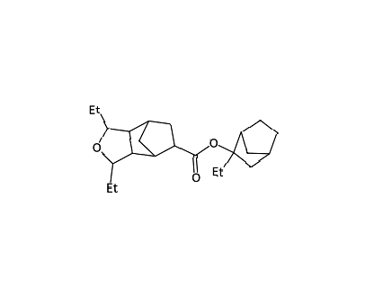 CCC1OC(CC)C2C3CC(CC3C(=O)OC3(CC)CC4CCC3C4)C12